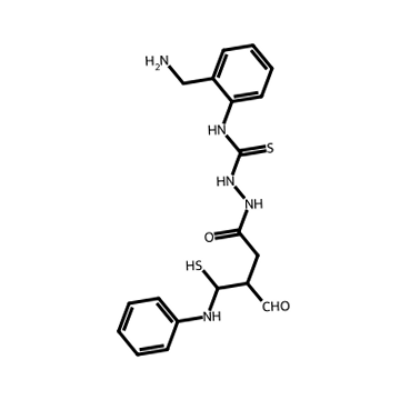 NCc1ccccc1NC(=S)NNC(=O)CC(C=O)C(S)Nc1ccccc1